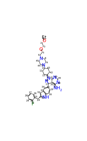 CCOCCOCCN1CCN(C2CCC(n3nc(-c4ccc5[nH]c(Cc6ccccc6F)cc5c4)c4c(N)ncnc43)CC2)CC1